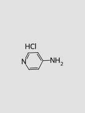 Cl.Nc1ccncc1